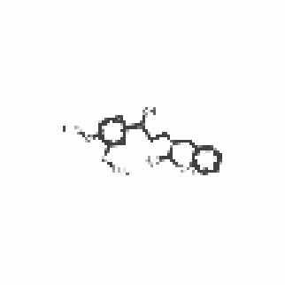 COc1ccc(C(O)CCN(Cc2ccccc2)C(C)C)cc1OC